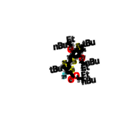 CCCCC(CC)COC(=O)c1sc2c(-c3cc4c(OCC(CC)CCCC)c5sc(C(C)(C)C)cc5c(OCC(CC)CCCC)c4s3)sc(C(C)(C)C)c2c1F